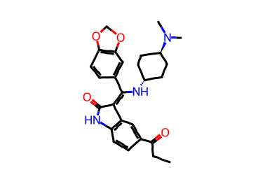 CCC(=O)c1ccc2c(c1)C(=C(N[C@H]1CC[C@H](N(C)C)CC1)c1ccc3c(c1)OCO3)C(=O)N2